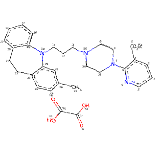 CCOC(=O)c1cccnc1N1CCN(CCCN2c3ccccc3CCc3ccc(C)cc32)CC1.O=C(O)C(=O)O